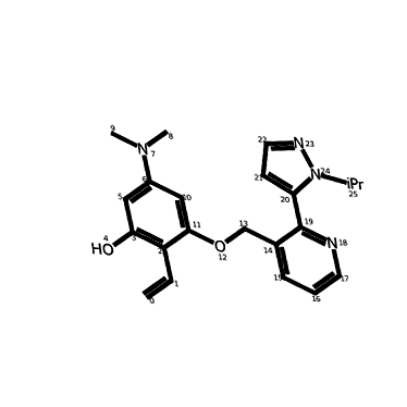 C=Cc1c(O)cc(N(C)C)cc1OCc1cccnc1-c1ccnn1C(C)C